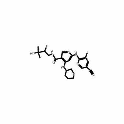 CC(C)(O)C(F)CNC(=O)c1cnc(Nc2ncc(C#N)cc2F)cc1NC1CCCOC1